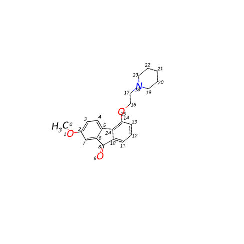 COc1ccc2c(c1)C(=O)c1cccc(OCCN3CCCCC3)c1-2